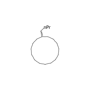 [CH2]CCC=C1CCCCCCCCCCCCCC1